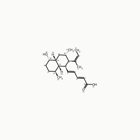 C/C=C(/C)[C@H]1[C@@H](/C=C/C=C/C(=O)O)[C@H]2[C@@H](C[C@@H]1C)[C@@H](O)CC[C@@H]2C